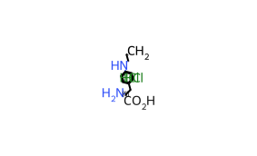 C=CCNc1ccc(C[C@H](N)C(=O)O)cc1.Cl.Cl